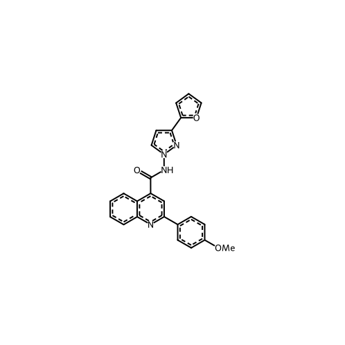 COc1ccc(-c2cc(C(=O)Nn3ccc(-c4ccco4)n3)c3ccccc3n2)cc1